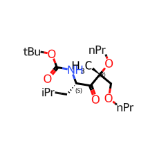 CCCOC[C@@](C)(OCCC)C(=O)[C@H](CC(C)C)NC(=O)OC(C)(C)C